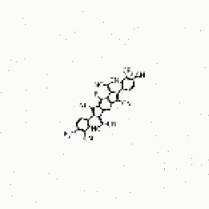 N#CC(C#N)=C1C(c2ccc(C(F)(F)F)c(C#N)c2)=C(C#N)c2c1cc1c(c2F)C(=C(C#N)C#N)C(c2ccc(C#N)c(C(F)(F)F)c2)=C1C#N